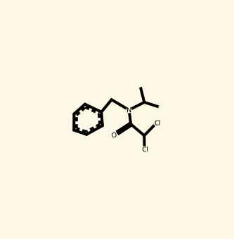 CC(C)N(Cc1ccccc1)C(=O)C(Cl)Cl